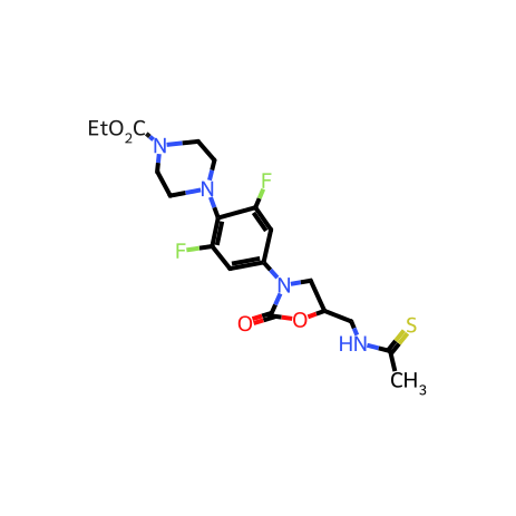 CCOC(=O)N1CCN(c2c(F)cc(N3CC(CNC(C)=S)OC3=O)cc2F)CC1